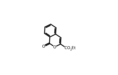 CCOC(=O)c1cc2ccccc2c(=O)o1